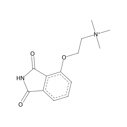 C[N+](C)(C)CCOc1cccc2c1C(=O)NC2=O